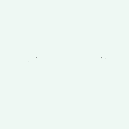 C.COc1ccc2cc(CC(=O)ON3C(=O)CCC3=O)ccc2c1